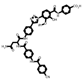 CC(C)Oc1c(-n2cc(-c3ccc(NC(=O)C(CC(N)=O)NC(=O)c4ccc(NC(=O)c5ccc(C#N)cc5)cc4)cc3)nn2)ccc(C(=O)Nc2ccc(C(=O)O)cc2)c1O